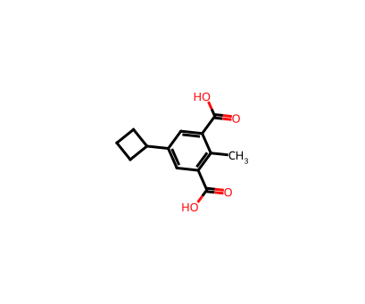 Cc1c(C(=O)O)cc(C2CCC2)cc1C(=O)O